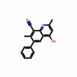 Cc1cc(O)c2cc(-c3ccccc3)c(C)c(C#N)c2n1